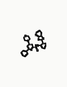 O=C(Nc1ccccc1-c1nc2cccnc2s1)c1cc(N2CCOCC2)cc(-c2ccccc2)n1